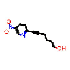 O=[N+]([O-])c1ccc(C#CCCCCO)nc1